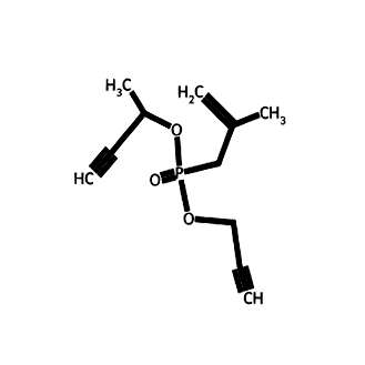 C#CCOP(=O)(CC(=C)C)OC(C)C#C